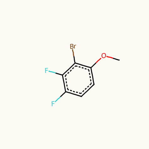 COc1ccc(F)c(F)c1Br